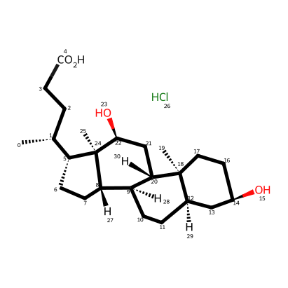 C[C@H](CCC(=O)O)[C@H]1CC[C@H]2[C@@H]3CC[C@@H]4C[C@H](O)CC[C@]4(C)[C@H]3C[C@H](O)[C@]12C.Cl